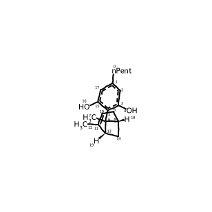 CCCCCc1cc(O)c(C2(C)[C@@H]3CC=C(C)[C@H]2C3)c(O)c1